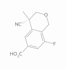 C[C@@]1(C#N)COCc2c(F)cc(C(=O)O)cc21